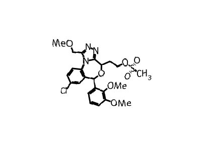 COCc1nnc2n1-c1ccc(Cl)cc1[C@H](c1cccc(OC)c1OC)OC2CCOS(C)(=O)=O